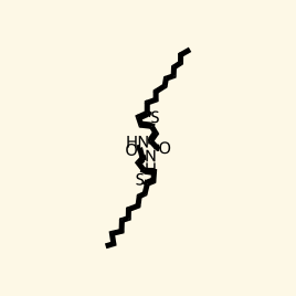 CCCCCCCCCCc1ccc(/C=c2\[nH]c(=O)/c(=C/c3ccc(CCCCCCCCCC)s3)[nH]c2=O)s1